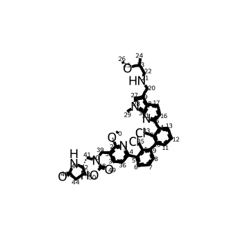 COc1nc(-c2cccc(-c3cccc(-c4ccc5c(CNCC(C)OC)cn(C)c5n4)c3Cl)c2Cl)ccc1CN(C[C@@H]1CCC(=O)N1)C(=O)O